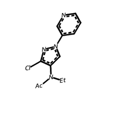 [CH2]C(=O)N(CC)c1cn(-c2cccnc2)nc1Cl